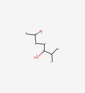 CC(Br)CCC(O)C(C)C